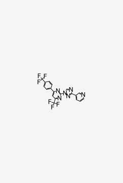 FC(F)(F)c1ccc(-c2cc(C(F)(F)F)nc(-n3cnc(-c4cccnc4)n3)n2)cc1